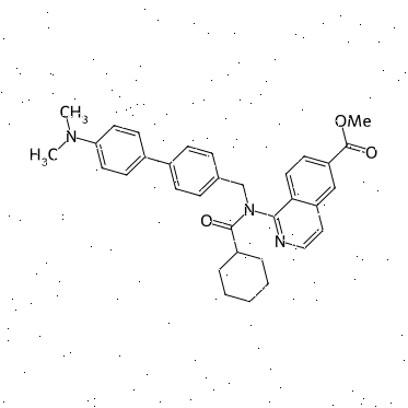 COC(=O)c1ccc2c(N(Cc3ccc(-c4ccc(N(C)C)cc4)cc3)C(=O)C3CCCCC3)nccc2c1